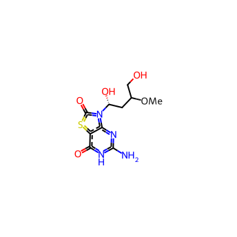 COC(CO)C[C@@H](O)n1c(=O)sc2c(=O)[nH]c(N)nc21